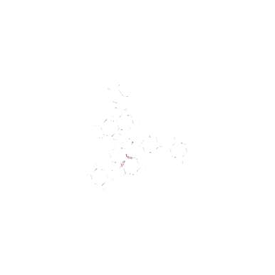 Fc1cc(-c2ccccc2)cc(-c2ccccc2)c1N(c1ccc(-c2ccccc2)cc1)c1ccc(C2=CCC=C2)c2ccccc12